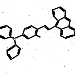 Cc1cc(N(c2ccccc2)c2ccccc2)ccc1C=Cc1c2ccccc2cc2ccccc12